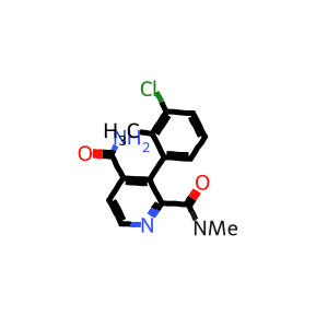 CNC(=O)c1nccc(C(N)=O)c1-c1cccc(Cl)c1C